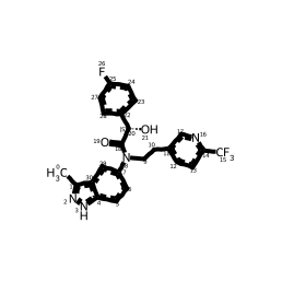 Cc1n[nH]c2ccc(N(CCc3ccc(C(F)(F)F)nc3)C(=O)[C@@H](O)c3ccc(F)cc3)cc12